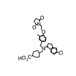 Cc1cc(CN(CC2CCC(C(=O)O)CC2)[C@@H]2CCc3cc(Cl)ccc32)ccc1OCCN1C(=O)CCC1=O